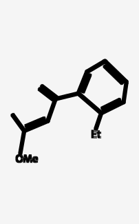 C=C(/C=C(\C)OC)c1ccccc1CC